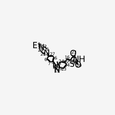 CCN1CCN(c2ccc(-n3cnc4ccc(/C=C5\SC(=O)NC5=O)cc43)cc2)CC1